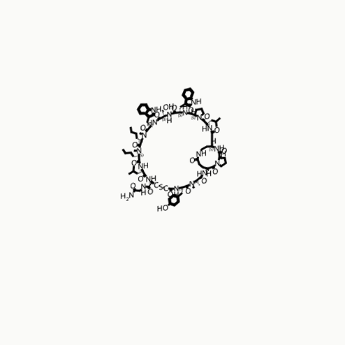 CCCC[C@H]1C(=O)N(C)[C@@H](CCCC)C(=O)N[C@@H](CC(C)C)C(=O)N[C@H](C(=O)NCC(N)=O)CSCC(=O)N[C@@H](Cc2ccc(O)cc2)C(=O)N(C)[C@@H](C)C(=O)N[C@H]2CCC(=O)NCC[C@H](NC(=O)[C@@H]3CCCN3C2=O)C(=O)N[C@@H](CC(C)C)C(=O)N2CCC[C@H]2C(=O)N[C@@H](Cc2c[nH]c3ccccc23)C(=O)N[C@@H](CO)C(=O)N[C@@H](Cc2c[nH]c3ccccc23)C(=O)N1C